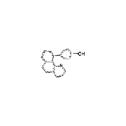 Oc1ccc(-c2cccc3ccc4cccnc4c23)cc1